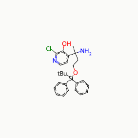 CC(N)(CCO[Si](c1ccccc1)(c1ccccc1)C(C)(C)C)c1ccnc(Cl)c1O